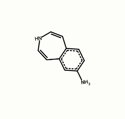 Nc1ccc2c(c1)C=CNC=C2